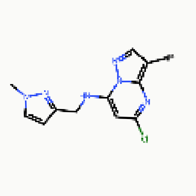 CC(C)c1cnn2c(NCc3ccn(C)n3)cc(Cl)nc12